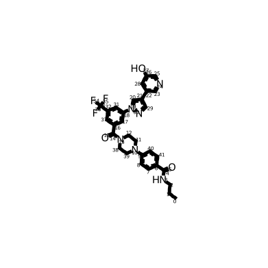 CCCNC(=O)c1ccc(N2CCN(C(=O)c3cc(-n4cc(-c5cncc(O)c5)cn4)cc(C(F)(F)F)c3)CC2)cc1